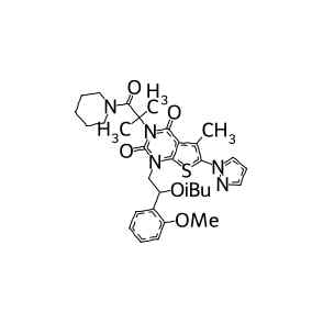 COc1ccccc1C(Cn1c(=O)n(C(C)(C)C(=O)N2CCCCC2)c(=O)c2c(C)c(-n3cccn3)sc21)OCC(C)C